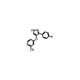 N#Cc1cc(Oc2c[nH]nc2-c2ccc(F)cc2)ccn1